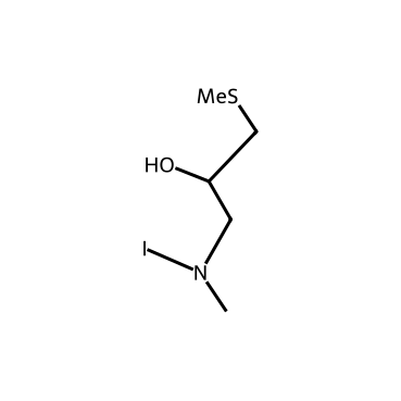 CSCC(O)CN(C)I